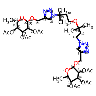 CC(=O)OC1C(C)OC(OCc2cn(CCC(C)(C)OCCC(C)(C)n3cc(CO[C@@H]4O[C@@H](C)C(OC(C)=O)C(OC(C)=O)C4OC(C)=O)nn3)nn2)C(OC(C)=O)C1OC(C)=O